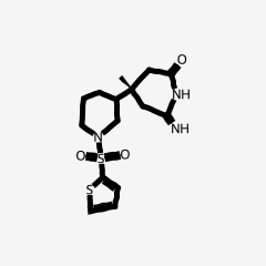 C[C@]1(C2CCCN(S(=O)(=O)c3cccs3)C2)CC(=N)NC(=O)C1